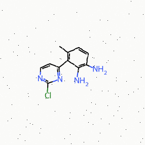 Cc1ccc(N)c(N)c1-c1ccnc(Cl)n1